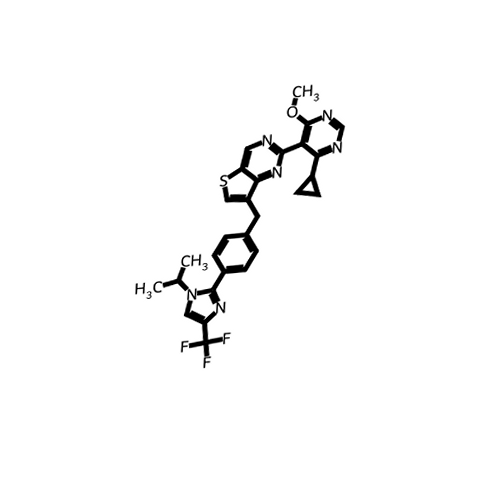 COc1ncnc(C2CC2)c1-c1ncc2scc(Cc3ccc(-c4nc(C(F)(F)F)cn4C(C)C)cc3)c2n1